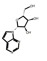 OC[C@H]1O[C@@H](n2ccc3cncnc32)[C@H](O)[C@@H]1O